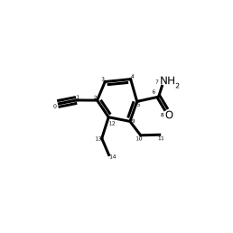 C#Cc1ccc(C(N)=O)c(CC)c1CC